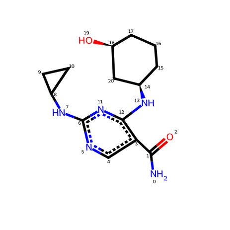 NC(=O)c1cnc(NC2CC2)nc1N[C@@H]1CCC[C@H](O)C1